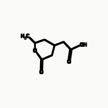 CC1CC(CC(=O)O)CC(=O)O1